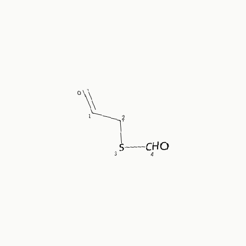 C=C[CH]SC=O